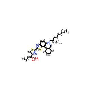 C=C(CCCCC)CN(CC1CCCCC1)c1ccc2nc(C3=NC(C(=C)O)CS3)sc2c1